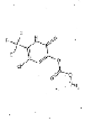 COC(=O)Oc1cc(Cl)c(C(F)(F)Cl)[nH]c1=O